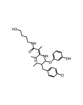 CCC(Cc1ccc(Cl)cc1)C(N/C(NC)=C(\C)C(=O)NCCCCO)Oc1cccc(O)c1